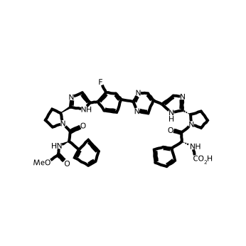 COC(=O)N[C@@H](C(=O)N1CCC[C@H]1c1ncc(-c2ccc(-c3ncc(-c4cnc([C@@H]5CCCN5C(=O)[C@H](NC(=O)O)c5ccccc5)[nH]4)cn3)cc2F)[nH]1)c1ccccc1